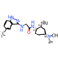 CCCC[C@H]1C[C@H](N(C)C(C)C)CC[C@@H]1NC(=O)CNc1n[nH]c2ccc(C(F)(F)F)cc12